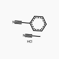 CC#N.Cl.N#Cc1ccccc1